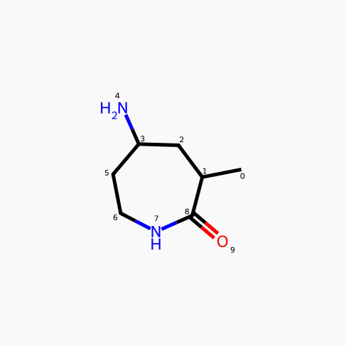 CC1CC(N)CCNC1=O